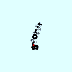 CC(C)(C)OC(=O)NCc1nc2cc(NC(=O)CC3C4CC5CC(C4)CC3C5)ccc2[nH]1